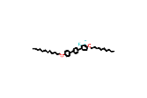 CCCCCCCCCCCCOc1ccc(-c2ccc(-c3ccc(OCCCCCCCCCC)c(F)c3F)cc2)cc1